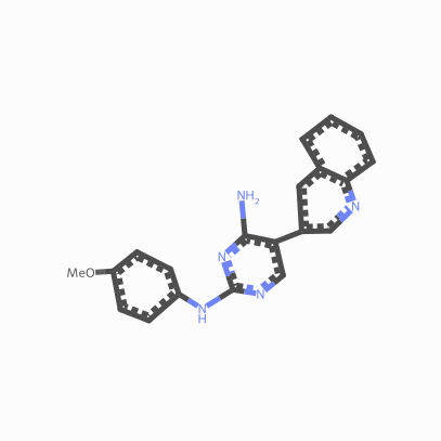 COc1ccc(Nc2ncc(-c3cnc4ccccc4c3)c(N)n2)cc1